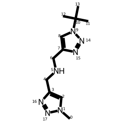 Cn1cc(CNCc2cn(C(C)(C)C)nn2)nn1